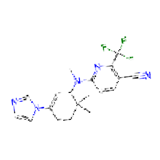 CN(c1ccc(C#N)c(C(F)(F)F)n1)C1C=C(n2ccnc2)CCC1(C)C